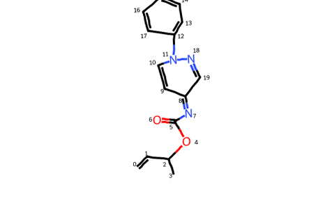 C=CC(C)OC(=O)/N=c1\ccn(-c2ccccc2)nc1